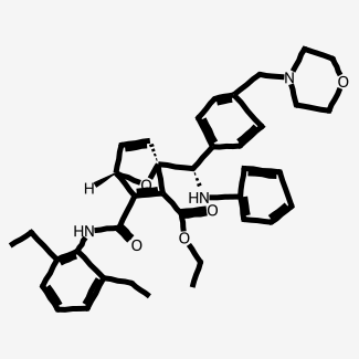 CCOC(=O)C1=C(C(=O)Nc2c(CC)cccc2CC)[C@@H]2C=C[C@@]1([C@@H](Nc1ccccc1)c1ccc(CN3CCOCC3)cc1)O2